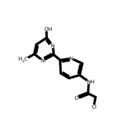 Cc1cc(O)nc(-c2ccc(NC(=O)CCl)cn2)n1